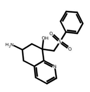 NC1Cc2cccnc2C(O)(CS(=O)(=O)c2ccccc2)C1